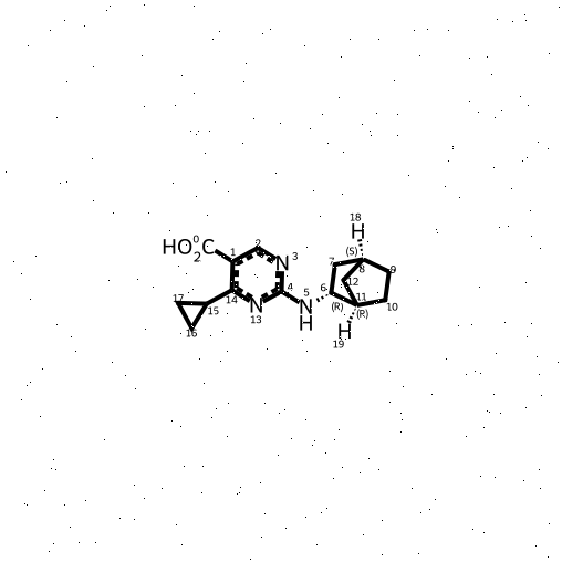 O=C(O)c1cnc(N[C@@H]2C[C@H]3CC[C@@H]2C3)nc1C1CC1